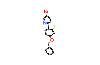 Fc1cc(OCc2ccccc2)ccc1-c1ccc(Br)cn1